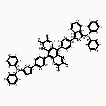 CC1=Nc2c(c(-c3ccc(-c4ccc(N(c5ccccc5)c5ccccc5)s4)cc3)c3nc(C)c(C)nc3c2-c2ccc(-c3sc(N(c4ccccc4)c4ccccc4)c4ccccc34)cc2)NC1C